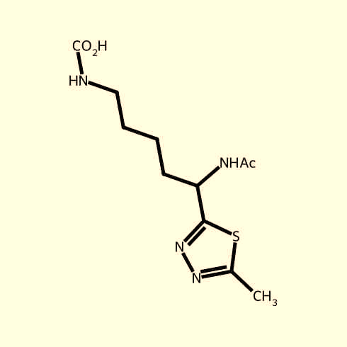 CC(=O)NC(CCCCNC(=O)O)c1nnc(C)s1